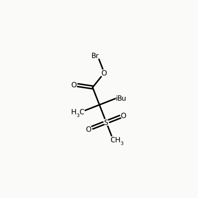 CCC(C)C(C)(C(=O)OBr)S(C)(=O)=O